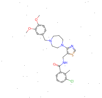 COc1ccc(CN2CCCN(c3ncsc3CNC(=O)c3cccc(Cl)c3C)CC2)cc1OC